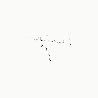 C=CCCCC(=O)/C(=N\CC)NCCCN(C)C